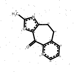 Cc1nc2c(o1)C(=O)c1ncccc1CC2